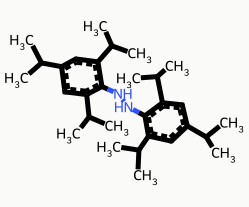 CC(C)c1cc(C(C)C)c(NNc2c(C(C)C)cc(C(C)C)cc2C(C)C)c(C(C)C)c1